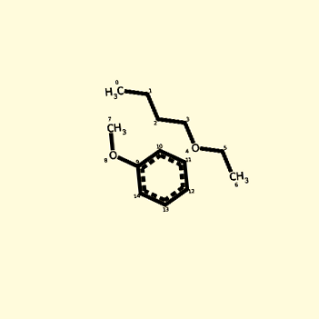 CCCCOCC.COc1ccccc1